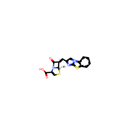 O=C(O)C1=CS[C@@H]2/C(=C\c3cn4c(n3)sc3ccccc34)C(=O)N12